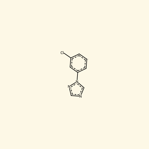 Clc1c[c]cc(-n2cncn2)c1